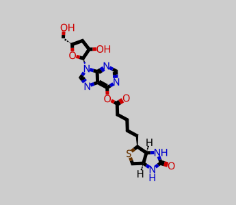 O=C1N[C@H]2[C@H](CS[C@H]2CCCCC(=O)Oc2ncnc3c2ncn3[C@@H]2O[C@H](CO)CC2O)N1